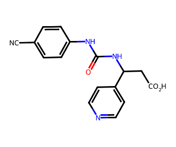 N#Cc1ccc(NC(=O)NC(CC(=O)O)c2ccncc2)cc1